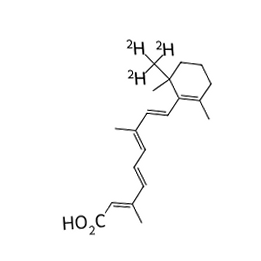 [2H]C([2H])([2H])C1(C)CCCC(C)=C1C=CC(C)=CC=CC(C)=CC(=O)O